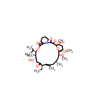 CC[C@@H]1/C=C(\C)C[C@H](C)C[C@H](OC)[C@H]2O[C@@](O)(C(=O)C(=O)N3CCCC[C@H]3C(=O)O[C@H](C(C)C)[C@H](C)[C@@H](O)CC1=O)[C@H](C)C[C@@H]2OC